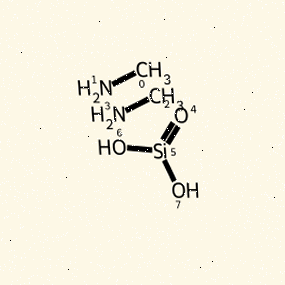 CN.CN.O=[Si](O)O